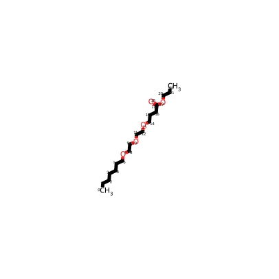 CCCCCCCOCCOCCOCCCC(=O)OCCC